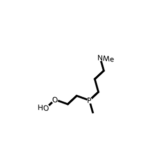 CNCCCP(C)CCOO